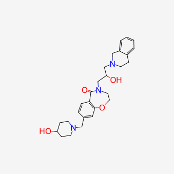 O=C1c2ccc(CN3CCC(O)CC3)cc2OCCN1CC(O)CN1CCc2ccccc2C1